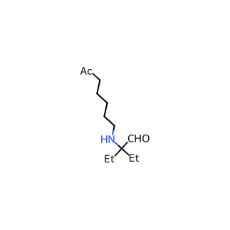 CCC(C=O)(CC)NCCCCCC(C)=O